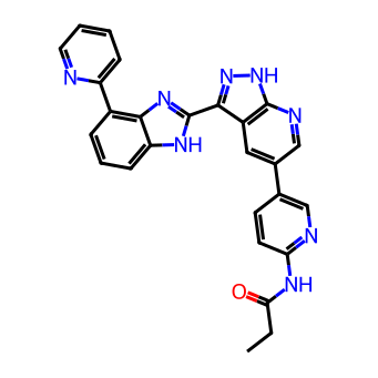 CCC(=O)Nc1ccc(-c2cnc3[nH]nc(-c4nc5c(-c6ccccn6)cccc5[nH]4)c3c2)cn1